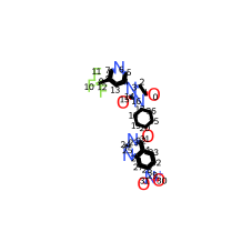 O=C1CN(c2cncc(C(F)(F)F)c2)C(=O)N1[C@H]1CC[C@H](Oc2ncnc3cc([N+](=O)[O-])ccc23)CC1